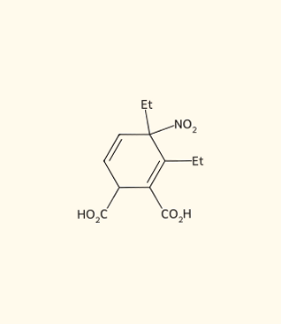 CCC1=C(C(=O)O)C(C(=O)O)C=CC1(CC)[N+](=O)[O-]